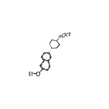 CCCCCCCC[C@H]1CC[C@H](c2ccc3cc(OCC)ccc3c2)CC1